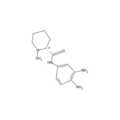 CN1CCCC[C@@H]1C(=O)Nc1ccc(N)c(N)c1